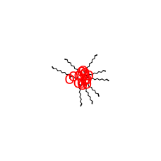 C=CCCCCCCCC(=O)OC[C@H]1OC(OC(=O)CCCCCCCC=C)(C(=O)CCCCCCCC=C)[C@@](OC(=O)CCCCCCCC=C)(C(=O)CCCCCCCC=C)[C@](OC(=O)CCCCCCCC=C)(C(=O)CCCCCCCC=C)[C@@H]1OC(=O)CCCCCCCC=C